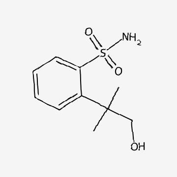 CC(C)(CO)c1ccccc1S(N)(=O)=O